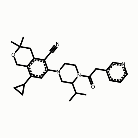 CC(C)C1CN(c2cc(C3CC3)c3c(c2C#N)CC(C)(C)OC3)CCN1C(=O)Cc1cccnc1